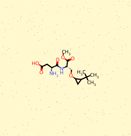 COC(=O)[C@H](COC1CC1C(C)(C)C)NC(=O)[C@@H](N)CC(=O)O